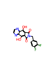 O=C1c2c(c(O)c3nccnc3c2O)C(=O)N1Cc1ccc(F)c(F)c1